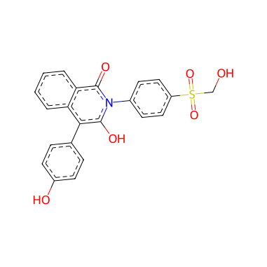 O=c1c2ccccc2c(-c2ccc(O)cc2)c(O)n1-c1ccc(S(=O)(=O)CO)cc1